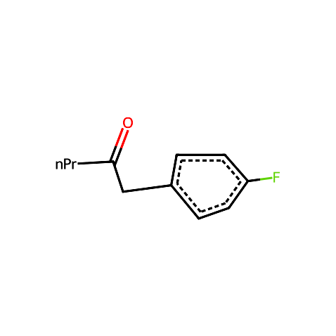 CCCC(=O)Cc1ccc(F)cc1